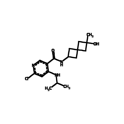 CC(C)Nc1cc(Cl)ncc1C(=O)NC1CC2(C1)CC(C)(O)C2